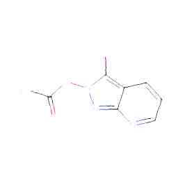 CCCC(=O)On1nc2ncccc2c1I